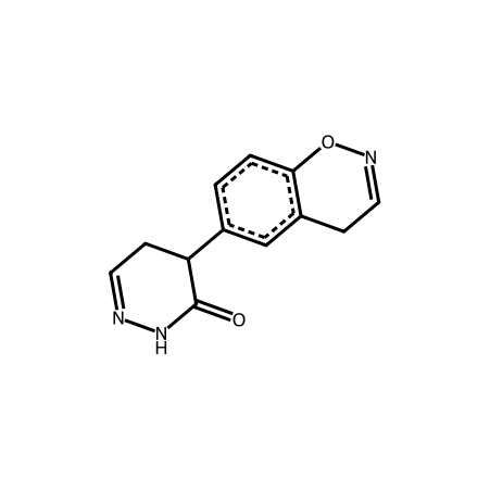 O=C1NN=CCC1c1ccc2c(c1)CC=NO2